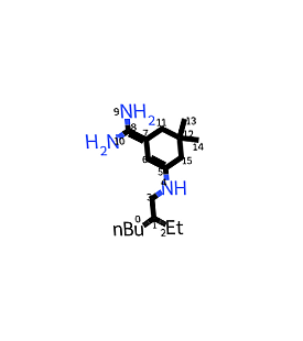 CCCCC(CC)CNC1=CC(=C(N)N)CC(C)(C)C1